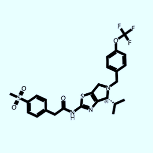 CC(C)[C@@H]1c2nc(NC(=O)Cc3ccc(S(C)(=O)=O)cc3)sc2CN1Cc1ccc(OC(F)(F)F)cc1